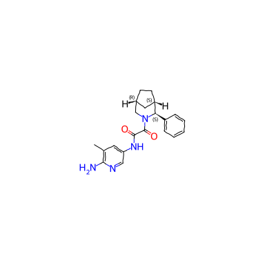 Cc1cc(NC(=O)C(=O)N2C[C@@H]3CC[C@@H](C3)[C@H]2c2ccccc2)cnc1N